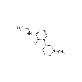 CCNc1cccn(C2CCCN(C)C2)c1=O